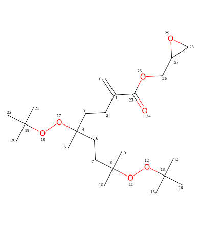 C=C(CCC(C)(CCC(C)(C)OOC(C)(C)C)OOC(C)(C)C)C(=O)OCC1CO1